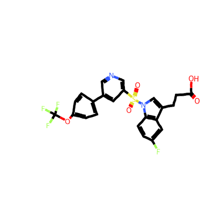 O=C(O)CCc1cn(S(=O)(=O)c2cncc(-c3ccc(OC(F)(F)F)cc3)c2)c2ccc(F)cc12